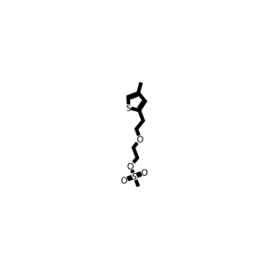 Cc1csc(CCOCCOS(C)(=O)=O)c1